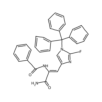 NC(=O)C(=Cc1cn(C(c2ccccc2)(c2ccccc2)c2ccccc2)c(F)n1)NC(=O)c1ccccc1